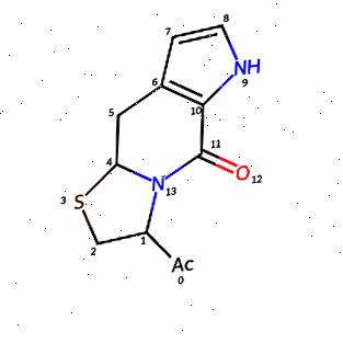 CC(=O)C1CSC2Cc3cc[nH]c3C(=O)N21